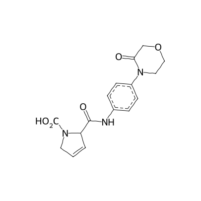 O=C(Nc1ccc(N2CCOCC2=O)cc1)C1C=CCN1C(=O)O